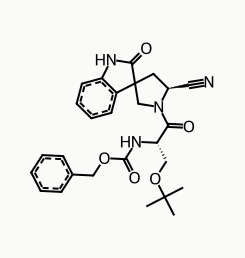 CC(C)(C)OC[C@H](NC(=O)OCc1ccccc1)C(=O)N1CC2(C[C@H]1C#N)C(=O)Nc1ccccc12